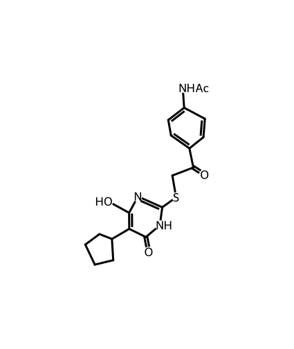 CC(=O)Nc1ccc(C(=O)CSc2nc(O)c(C3CCCC3)c(=O)[nH]2)cc1